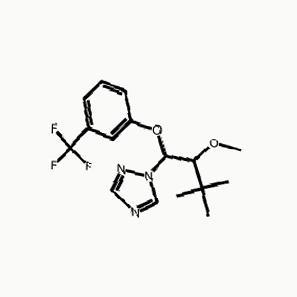 COC(C(Oc1cccc(C(F)(F)F)c1)n1cncn1)C(C)(C)C